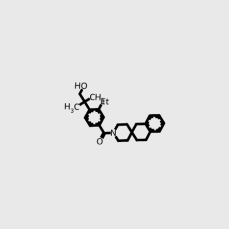 CCc1cc(C(=O)N2CCC3(CCc4ccccc4C3)CC2)ccc1C(C)(C)CO